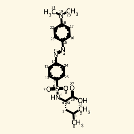 CC(C)C[C@H](NS(=O)(=O)c1ccc(N=Nc2ccc(N(C)C)cc2)cc1)C(=O)O